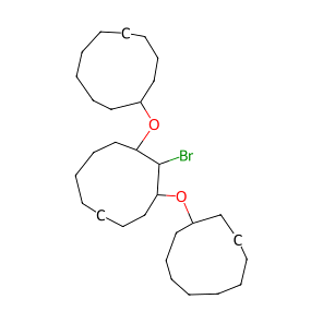 BrC1C(OC2CCCCCCCCC2)CCCCCCCC1OC1CCCCCCCCC1